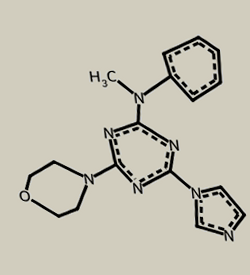 CN(c1ccccc1)c1nc(N2CCOCC2)nc(-n2ccnc2)n1